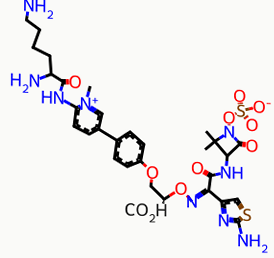 C[n+]1cc(-c2ccc(OC[C@H](O/N=C(\C(=O)NC3C(=O)N(OS(=O)(=O)[O-])C3(C)C)c3csc(N)n3)C(=O)O)cc2)ccc1NC(=O)C(N)CCCCN